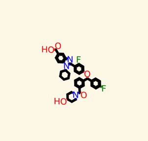 O=C(O)c1ccc2c(c1)nc(-c1ccc(OC(c3ccc(F)cc3)c3cccc(C(=O)N4CCC(O)CC4)c3)cc1F)n2C1CCCCC1